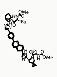 COC(=O)N[C@H](C(=O)N1CC2(CC2)C[C@H]1c1ncc(-c2ccc3cc(-c4ccc(-c5cnc([C@@H]6C7CC[C@H](C7)N6C(=O)[C@@H](NC(=O)OC)C(C)(C)C)[nH]5)cc4)ccc3c2)[nH]1)C(C)C